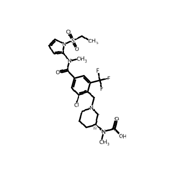 CCS(=O)(=O)n1cccc1N(C)C(=O)c1cc(Cl)c(CN2CCC[C@H](N(C)C(=O)O)C2)c(C(F)(F)F)c1